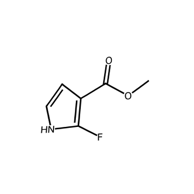 COC(=O)c1cc[nH]c1F